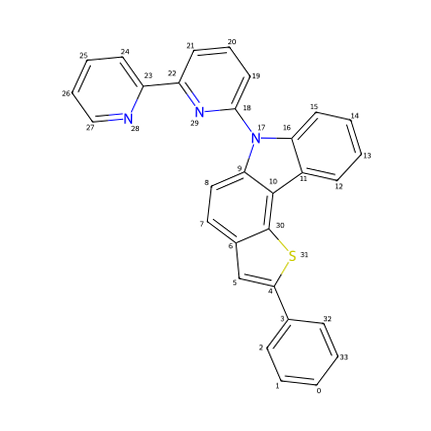 c1ccc(-c2cc3ccc4c(c5ccccc5n4-c4cccc(-c5ccccn5)n4)c3s2)cc1